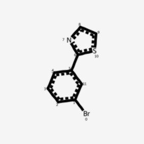 Brc1cc[c]c(-c2nccs2)c1